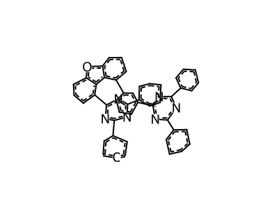 c1ccc(-c2nc(-c3ccccc3)nc(-c3cccc(-c4cccc5oc6cccc(-c7nc(-c8ccccc8)nc(-c8ccccc8)n7)c6c45)c3)n2)cc1